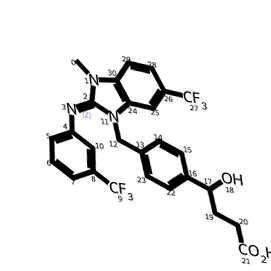 Cn1/c(=N/c2cccc(C(F)(F)F)c2)n(Cc2ccc(C(O)CCC(=O)O)cc2)c2cc(C(F)(F)F)ccc21